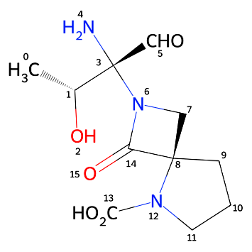 C[C@@H](O)[C@@](N)(C=O)N1C[C@]2(CCCN2C(=O)O)C1=O